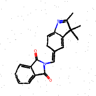 CC1=NC2=CCC(=CN3C(=O)c4ccccc4C3=O)C=C2C1(C)C